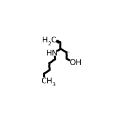 C=CC([CH]CO)NCCCCC